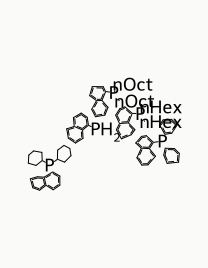 CCCCCCCCP(CCCCCCCC)c1cccc2ccccc12.CCCCCCP(CCCCCC)c1cccc2ccccc12.Pc1cccc2ccccc12.c1ccc(P(c2ccccc2)c2cccc3ccccc23)cc1.c1ccc2c(P(C3CCCCC3)C3CCCCC3)cccc2c1